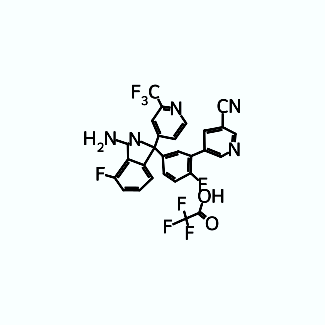 N#Cc1cncc(-c2cc(C3(c4ccnc(C(F)(F)F)c4)N=C(N)c4c(F)cccc43)ccc2F)c1.O=C(O)C(F)(F)F